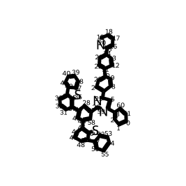 c1ccc(-c2cc(-c3ccc(-c4ccc(-c5ccccn5)cc4)cc3)nc(-c3cc(-c4cccc5c4sc4ccccc45)cc(-c4cccc5c4sc4ccccc45)c3)n2)cc1